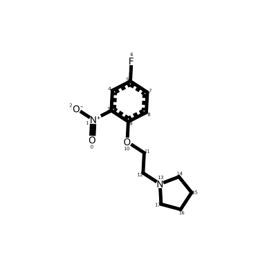 O=[N+]([O-])c1cc(F)ccc1OCCN1CCCC1